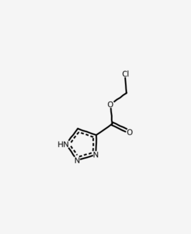 O=C(OCCl)c1c[nH]nn1